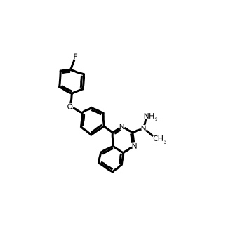 CN(N)c1nc(-c2ccc(Oc3ccc(F)cc3)cc2)c2ccccc2n1